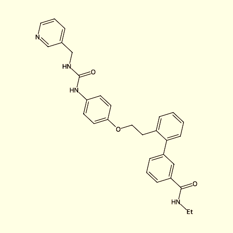 CCNC(=O)c1cccc(-c2ccccc2CCOc2ccc(NC(=O)NCc3cccnc3)cc2)c1